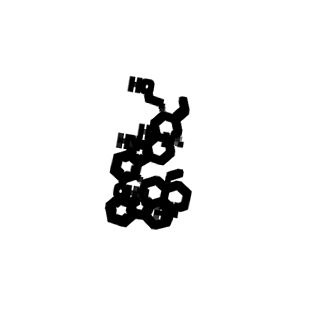 C/C=C1/C[N@@+]2(C)CCc3c([nH]c4ccc(O)c([C@@H]5C[C@@]6(CC)CCCN7CCc8c(n5c5ccccc85)[C@H]76)c34)[C@H]2C[C@@H]1CCO